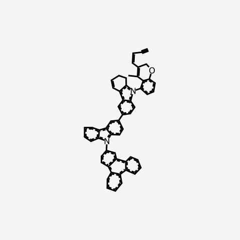 C#C/C=C\C1=C(C)c2c(cccc2-n2c3c(c4cc(-c5ccc6c(c5)c5ccccc5n6-c5ccc6c7ccccc7c7ccccc7c6c5)ccc42)C=CCC3)OC1